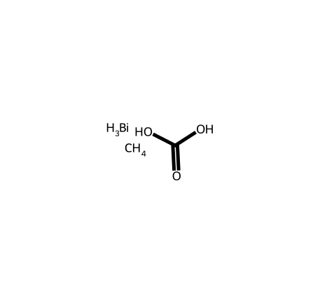 C.O=C(O)O.[BiH3]